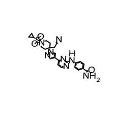 N#CCC1(n2cc(-c3ccnc(Nc4ccc(C(N)=O)cc4)n3)cn2)CCN(S(=O)(=O)C2CC2)CC1